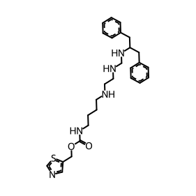 O=C(NCCCCNCCNCNC(Cc1ccccc1)Cc1ccccc1)OCc1cncs1